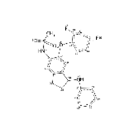 CS(=O)(=O)Nc1cc2c(cc1Oc1ccc(F)cc1F)C(Nc1ccccc1)CC2